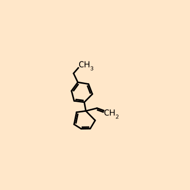 C=CC1(c2ccc(CC)cc2)C=CC=CC1